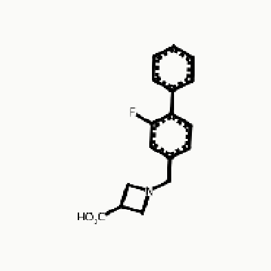 O=C(O)C1CN(Cc2ccc(-c3ccccc3)c(F)c2)C1